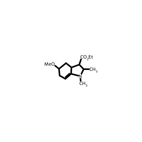 CCOC(=O)C1C2CC(OC)CC=C2N(C)C1C